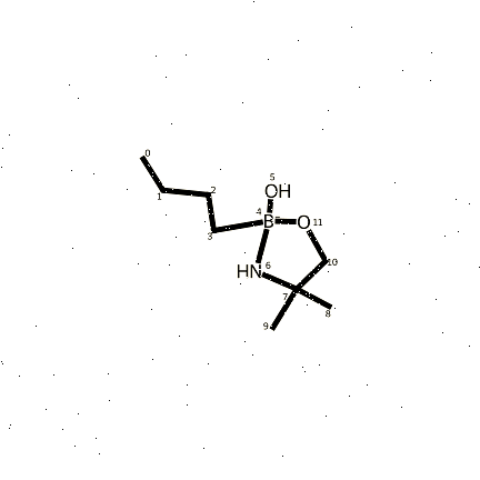 CCCC[B-]1(O)NC(C)(C)CO1